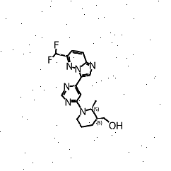 C[C@H]1[C@@H](CO)CCCN1c1cc(-c2cnc3ccc(C(F)F)nn23)ncn1